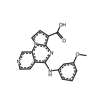 COc1cccc(Nc2nc3c(C(=O)O)ccn3c3cnccc23)c1